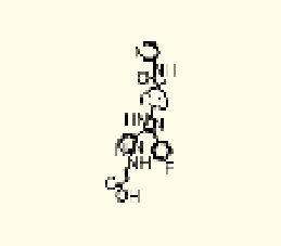 CC1(C(=O)Nc2cccnc2)COC(c2nc(-c3ccc(F)cc3)c(-c3ccnc(NCCC(=O)O)n3)[nH]2)OC1